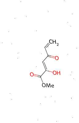 C=CC(=O)C=C(O)C(=O)OC